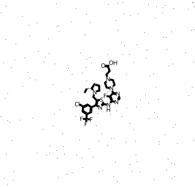 CC[C@@H]1CCCN1Cc1sc(Nc2ncnc(N3CCN(CCC(=O)O)CC3)c2F)nc1-c1cc(Cl)cc(C(F)(F)F)c1